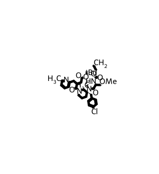 C=CCOC(=O)NC(COC)C(=O)N(C)[C@@]1(Cc2ccc(Cl)cc2)CCCN(C(=O)C(CC(=O)OC(C)(C)C)Cc2cccc(C)n2)C1